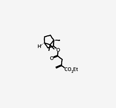 C=C(CC(=O)OC1C[C@H]2CC[C@@]1(C)C2(C)C)C(=O)OCC